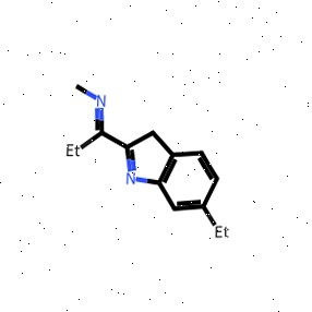 CC/C(=N\C)C1=Nc2cc(CC)ccc2C1